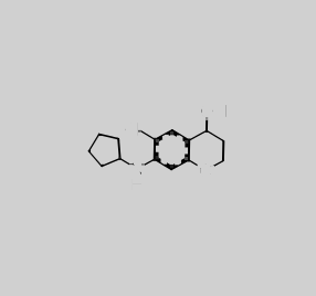 OC1CCOc2cc(NC3CCCC3)c(Cl)cc21